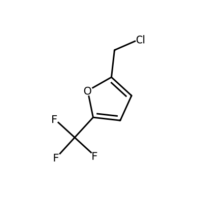 FC(F)(F)c1ccc(CCl)o1